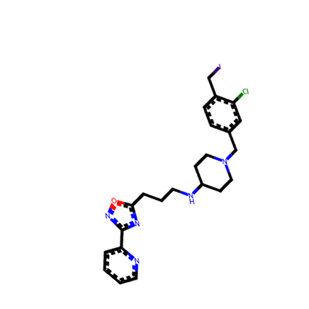 Clc1cc(CN2CCC(NCCCc3nc(-c4ccccn4)no3)CC2)ccc1CI